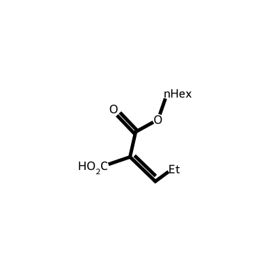 CCC=C(C(=O)O)C(=O)OCCCCCC